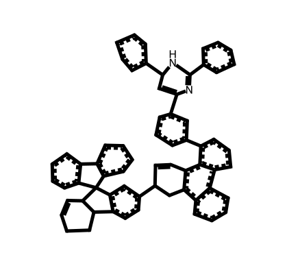 C1=CC2C(CC1)c1ccc(C3C=Cc4c(c5ccccc5c5cccc(-c6cccc(C7=CC(c8ccccc8)NC(c8ccccc8)=N7)c6)c45)C3)cc1C21c2ccccc2-c2ccccc21